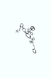 Cc1ccccc1N1CCN(c2ccc(C(=O)NCCCc3ccccc3)cc2NC(=O)c2ccco2)CC1